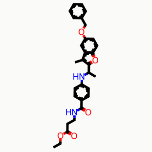 CCOC(=O)CCNC(=O)c1ccc(NC(C)c2oc3ccc(OCc4ccccc4)cc3c2C)cc1